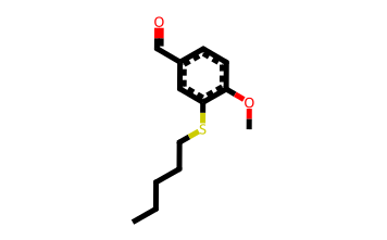 CCCCCSc1cc(C=O)ccc1OC